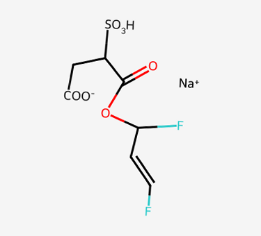 O=C([O-])CC(C(=O)OC(F)C=CF)S(=O)(=O)O.[Na+]